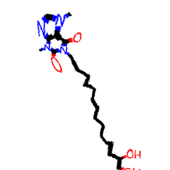 Cn1cnc2c1c(=O)n(CCCCCCCCCCCCC(O)CO)c(=O)n2C